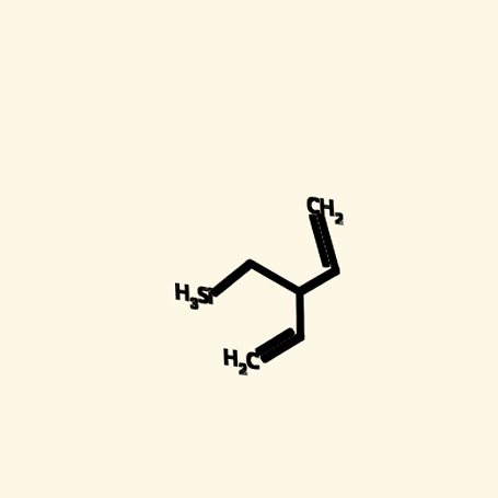 C=CC(C=C)C[SiH3]